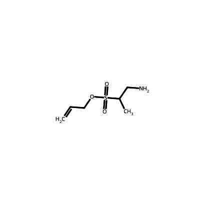 C=CCOS(=O)(=O)C(C)CN